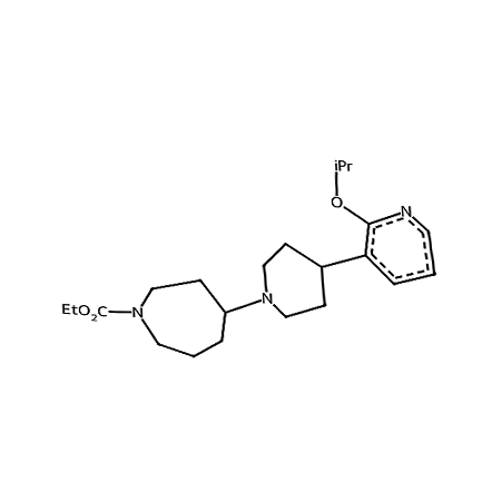 CCOC(=O)N1CCCC(N2CCC(c3cccnc3OC(C)C)CC2)CC1